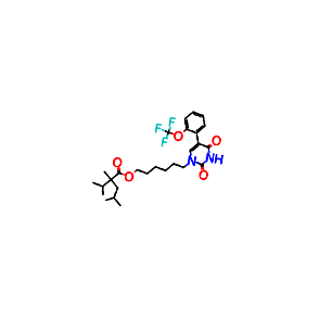 CC(C)CC(C)(C(=O)OCCCCCCn1cc(-c2ccccc2OC(F)(F)F)c(=O)[nH]c1=O)C(C)C